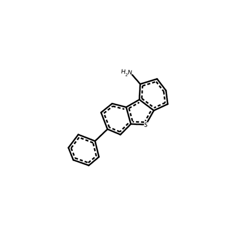 Nc1cccc2sc3cc(-c4ccccc4)ccc3c12